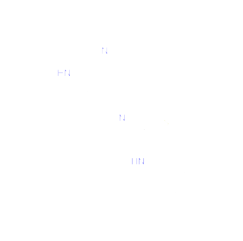 S=C(NC1CC1)N1CCc2[nH]cnc2C1